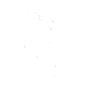 Cc1cccc(C)c1-c1cc2nc(n1)NS(=O)(=O)c1cccc(c1)C(=O)N1CCN(CCC3(C(F)(F)F)CC3)C(CO2)C1